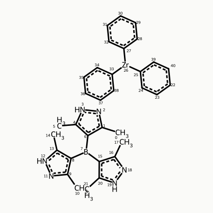 Cc1n[nH]c(C)c1B(c1c(C)n[nH]c1C)c1c(C)n[nH]c1C.c1cc[c]([Zr]([c]2ccccc2)[c]2ccccc2)cc1